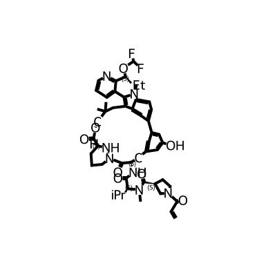 C=CC(=O)N1CC[C@H](C(=O)N(C)[C@H](C(=O)N[C@H]2Cc3cc(O)cc(c3)-c3ccc4c(c3)c(c(-c3cccnc3[C@H](C)OC(F)F)n4CC)CC(C)(C)COC(=O)[C@@H]3CCCN(N3)C2=O)C(C)C)C1